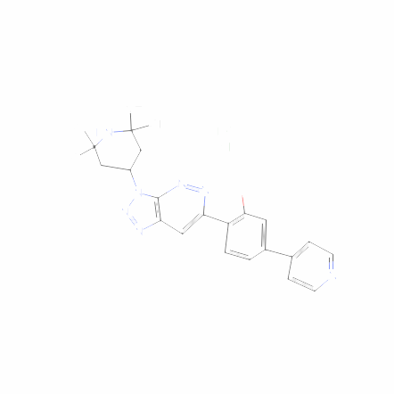 CC1(C)CC(n2nnc3cc(-c4ccc(-c5ccncc5)cc4O)nnc32)CC(C)(C)N1.Cl.Cl